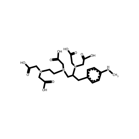 CNc1ccc(CC(CN(CCN(CC(=O)O)CC(=O)O)CC(=O)O)N(CC(=O)O)CC(=O)O)cc1